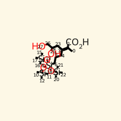 CC(C(=O)O)=C(CCC[Si](O[Si](C)(C)C)(O[Si](C)(C)C)O[Si](C)(C)C)CC(O)CO